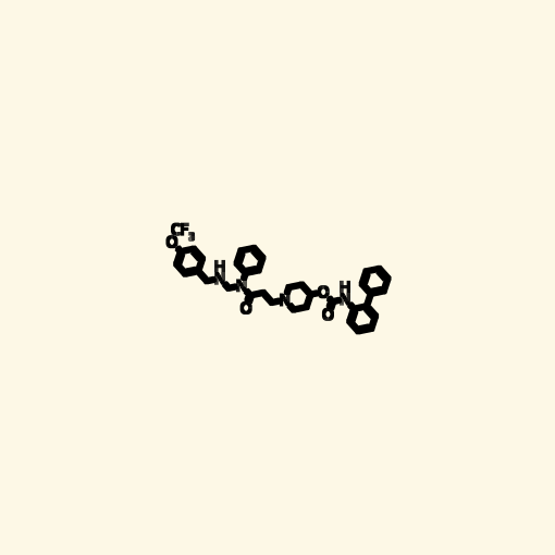 O=C(Nc1ccccc1-c1ccccc1)OC1CCN(CCC(=O)N(CNCc2ccc(OC(F)(F)F)cc2)c2ccccc2)CC1